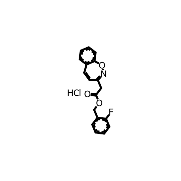 Cl.O=C(CC1=NOc2ccccc2C=C1)OCc1ccccc1F